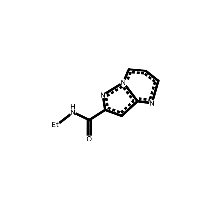 CCNC(=O)c1cc2ncccn2n1